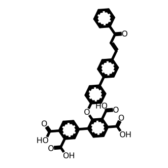 O=C(C=Cc1ccc(-c2ccc(Oc3c(-c4ccc(C(=O)O)c(C(=O)O)c4)ccc(C(=O)O)c3C(=O)O)cc2)cc1)c1ccccc1